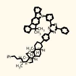 CC(C)CCC[C@@H](C)[C@H]1CC[C@H]2[C@@H]3CC[C@H]4CC(c5ccc(-c6nc(-c7ccccc7)nc(-c7cccc(-n8c9ccccc9c9cc%10c(cc98)C(C)(C)c8ccccc8-%10)c7)n6)cc5)CC[C@]4(C)[C@H]3CC[C@]12C